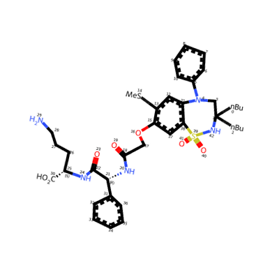 CCCCC1(CCCC)CN(c2ccccc2)c2cc(SC)c(OCC(=O)N[C@@H](C(=O)N[C@@H](CCCN)C(=O)O)c3ccccc3)cc2S(=O)(=O)N1